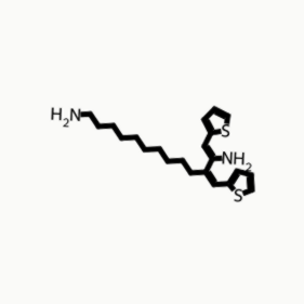 NCCCCCCCCCCC(=Cc1cccs1)C(N)=Cc1cccs1